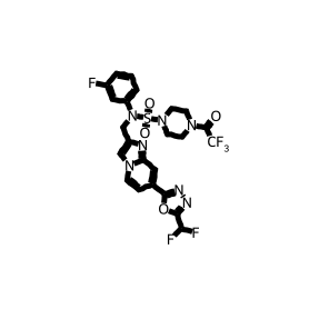 O=C(N1CCN(S(=O)(=O)N(Cc2cn3ccc(-c4nnc(C(F)F)o4)cc3n2)c2cccc(F)c2)CC1)C(F)(F)F